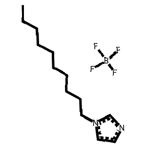 CCCCCCCCCCn1ccnc1.F[B-](F)(F)F